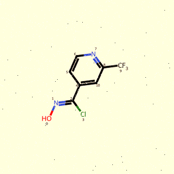 O/N=C(\Cl)c1ccnc(C(F)(F)F)c1